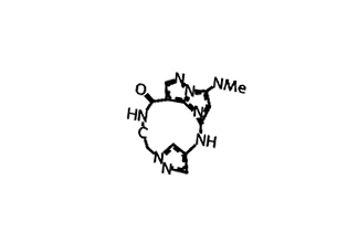 CNc1cc2nc3c(cnn13)C(=O)NCCn1cc(cn1)N2